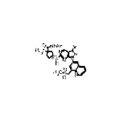 CNC(=O)[C@]1(C)CC[C@@H](Nc2ncc3c(Br)nn(-c4cc(CS(C)(=O)=O)c5ncccc5c4)c3n2)C1